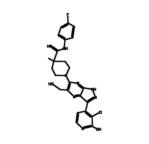 CC1(C(=N)Nc2ccc(F)cc2)CCN(c2nc3[nH]nc(-c4ccnc(O)c4Cl)c3nc2CO)CC1